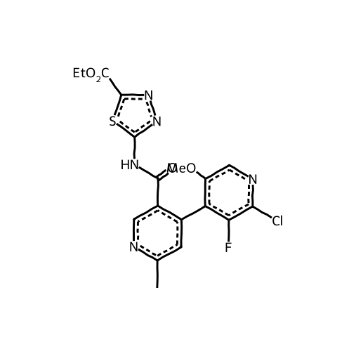 CCOC(=O)c1nnc(NC(=O)c2cnc(C)cc2-c2c(OC)cnc(Cl)c2F)s1